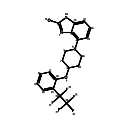 [O]c1nc2c(N3CCC(Oc4ccccc4C(F)(F)C(F)(F)F)CC3)cccc2s1